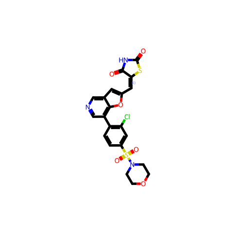 O=C1NC(=O)/C(=C\c2cc3cncc(-c4ccc(S(=O)(=O)N5CCOCC5)cc4Cl)c3o2)S1